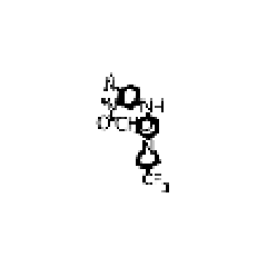 CN(C)c1ccc(Nc2ccc(N3CCC(C(F)(F)F)CC3)cc2)cc1N(C)C(=O)C=O